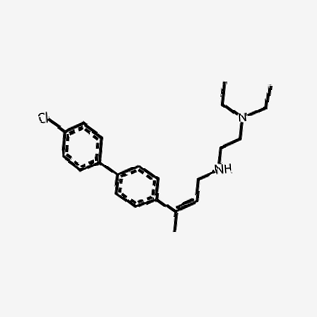 CCN(CC)CCNC/C=C(/C)c1ccc(-c2ccc(Cl)cc2)cc1